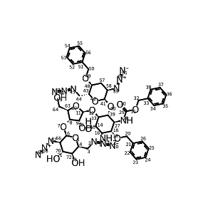 [N-]=[N+]=NC[C@@H]1O[C@H](O[C@H]2[C@@H](O)[C@H](O[C@@H]3[C@@H](O)[C@H](N)[C@@H](OCc4ccccc4)[C@H](NC(=O)OCc4ccccc4)[C@H]3O[C@H]3O[C@H](CN=[N+]=[N-])[C@@H](OCc4ccccc4)C[C@H]3N=[N+]=[N-])O[C@@H]2CO)[C@H](N=[N+]=[N-])[C@@H](O)[C@@H]1O